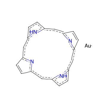 C1=Cc2cc3ccc(cc4nc(cc5ccc(cc1n2)[nH]5)C=C4)[nH]3.[Au]